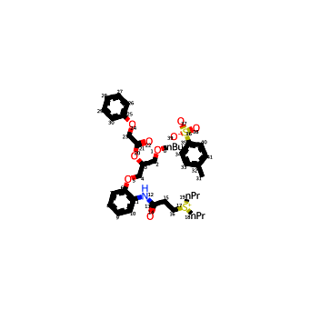 CCCCOCC(COc1ccccc1NC(=O)CC[S+](CCC)CCC)OC(=O)COc1ccccc1.Cc1ccc(S(=O)(=O)[O-])cc1